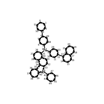 c1ccc(-c2ccc(N(c3ccc(-c4cccc5ccccc45)cc3)c3cccc4c3ccc3c4c4ccccc4n3-c3ccccc3)cc2)cc1